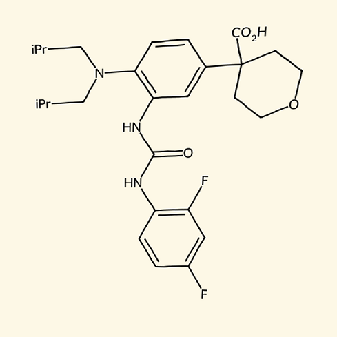 CC(C)CN(CC(C)C)c1ccc(C2(C(=O)O)CCOCC2)cc1NC(=O)Nc1ccc(F)cc1F